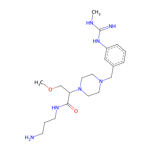 CNC(=N)Nc1cccc(CN2CCN(C(COC)C(=O)NCCCN)CC2)c1